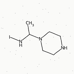 CC(NI)N1CCNCC1